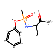 COC(=O)C(C)NP(C)(=O)Oc1ccccc1